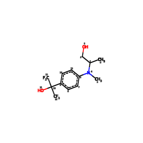 CC(CO)N(C)c1ccc(C(O)(C(F)(F)F)C(F)(F)F)cc1